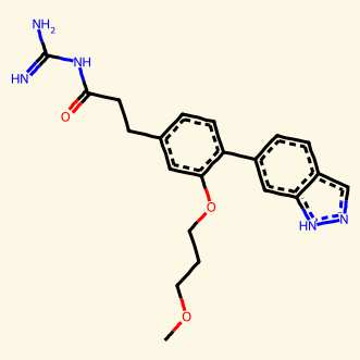 COCCCOc1cc(CCC(=O)NC(=N)N)ccc1-c1ccc2cn[nH]c2c1